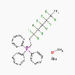 CCCCO[SiH3].FC(F)(F)C(F)(F)C(F)(F)C(F)(F)C(F)(F)C(F)(F)CC[PH](c1ccccc1)(c1ccccc1)c1ccccc1